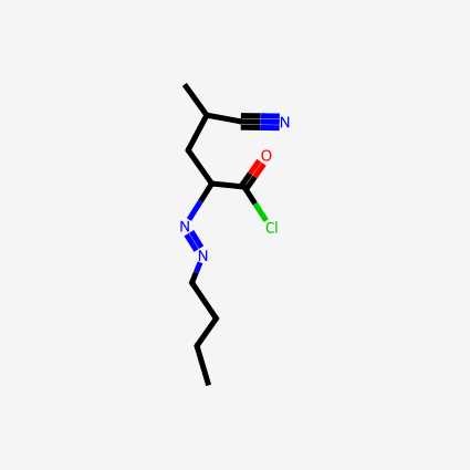 CCCCN=NC(CC(C)C#N)C(=O)Cl